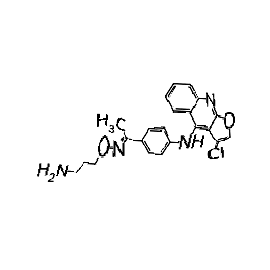 C/C(=N\OCCCN)c1ccc(Nc2c3ccccc3nc3occ(Cl)c23)cc1